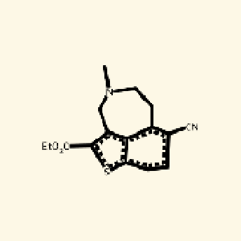 CCOC(=O)c1sc2ccc(C#N)c3c2c1CN(C)CC3